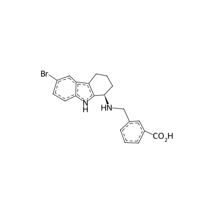 O=C(O)c1cccc(CN[C@@H]2CCCc3c2[nH]c2ccc(Br)cc32)c1